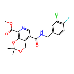 COC(=O)c1ncc(C(=O)NCc2ccc(F)c(Cl)c2)c2c1OC(C)(C)OC2